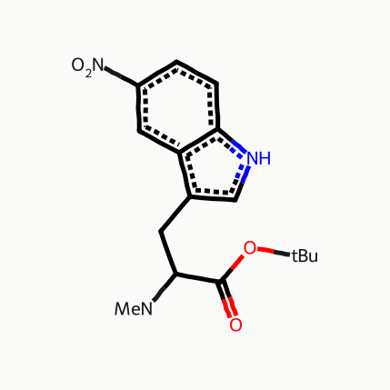 CNC(Cc1c[nH]c2ccc([N+](=O)[O-])cc12)C(=O)OC(C)(C)C